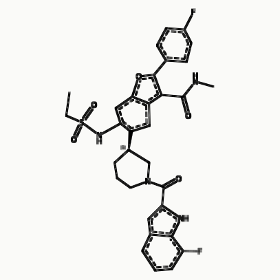 CCS(=O)(=O)Nc1cc2oc(-c3ccc(F)cc3)c(C(=O)NC)c2cc1[C@@H]1CCCN(C(=O)c2cc3cccc(F)c3[nH]2)C1